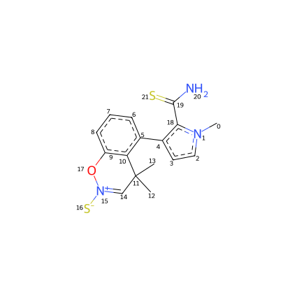 Cn1ccc(-c2cccc3c2C(C)(C)C=[N+]([S-])O3)c1C(N)=S